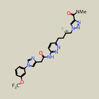 CNC(=O)c1cn(C[C@H](F)CCc2ccc(NC(=O)Cc3cn(-c4cccc(OC(F)(F)F)c4)cn3)nn2)nn1